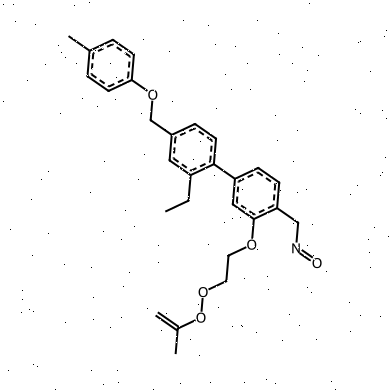 C=C(C)OOCCOc1cc(-c2ccc(COc3ccc(C)cc3)cc2CC)ccc1CN=O